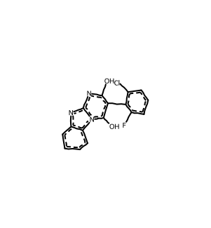 Oc1nc2nc3ccccc3n2c(O)c1-c1c(F)cccc1Cl